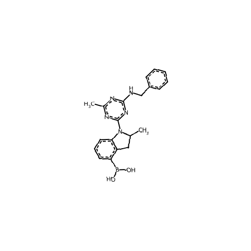 Cc1nc(NCc2ccccc2)nc(N2c3cccc(B(O)O)c3CC2C)n1